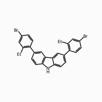 CCc1cc(Br)ccc1-c1ccc2[nH]c3ccc(-c4ccc(Br)cc4CC)cc3c2c1